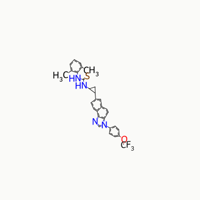 Cc1cccc(C)c1NC(=S)NC1CC1c1ccc2c(ccc3c2ncn3-c2ccc(OC(F)(F)F)cc2)c1